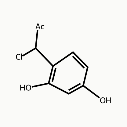 CC(=O)C(Cl)c1ccc(O)cc1O